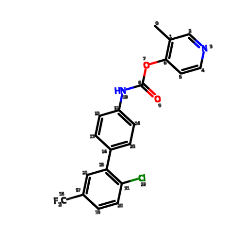 Cc1cnccc1OC(=O)Nc1ccc(-c2cc(C(F)(F)F)ccc2Cl)cc1